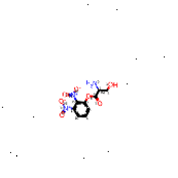 N[C@@H](CO)C(=O)Oc1cccc([N+](=O)[O-])c1[N+](=O)[O-]